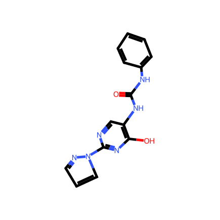 O=C(Nc1ccccc1)Nc1cnc(-n2cccn2)nc1O